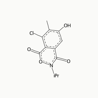 Cc1c(O)cc2c(=O)n(C(C)C)oc(=O)c2c1Cl